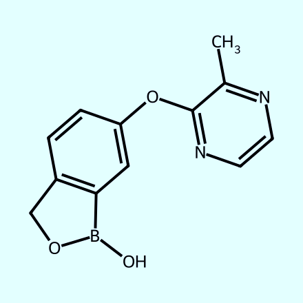 Cc1nccnc1Oc1ccc2c(c1)B(O)OC2